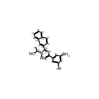 Bc1cc(Br)cc(C(=N)/N=C(/c2ccc3ccccc3c2)N(C)C(C)C#N)c1